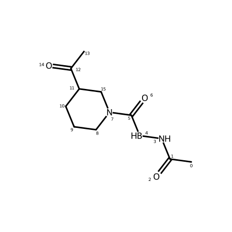 CC(=O)NBC(=O)N1CCCC(C(C)=O)C1